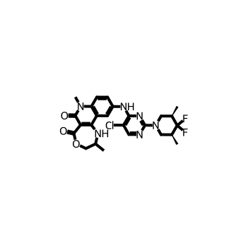 CC1COC(=O)c2c(c3cc(Nc4nc(N5C[C@@H](C)C(F)(F)[C@@H](C)C5)ncc4Cl)ccc3n(C)c2=O)N1